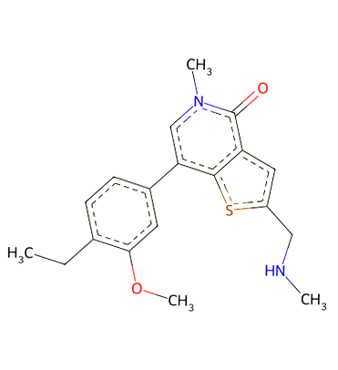 CCc1ccc(-c2cn(C)c(=O)c3cc(CNC)sc23)cc1OC